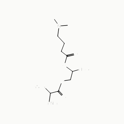 CCCCCCCCCC(CCCCCCCCC)C(=O)OCC(CCCCCC)OC(=O)CCCN(C)C